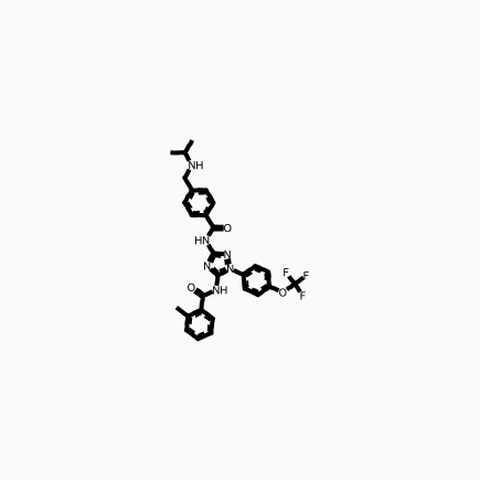 Cc1ccccc1C(=O)Nc1nc(NC(=O)c2ccc(CNC(C)C)cc2)nn1-c1ccc(OC(F)(F)F)cc1